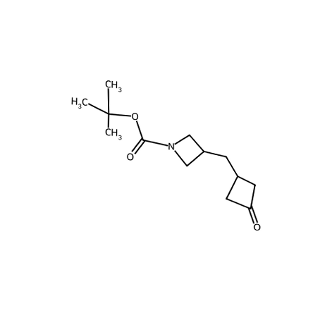 CC(C)(C)OC(=O)N1CC(CC2CC(=O)C2)C1